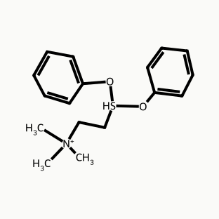 C[N+](C)(C)CC[SH](Oc1ccccc1)Oc1ccccc1